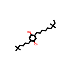 CCC(C)(C)CCCCCCc1cc(O)c(CCCCC(C)(C)C)cc1O